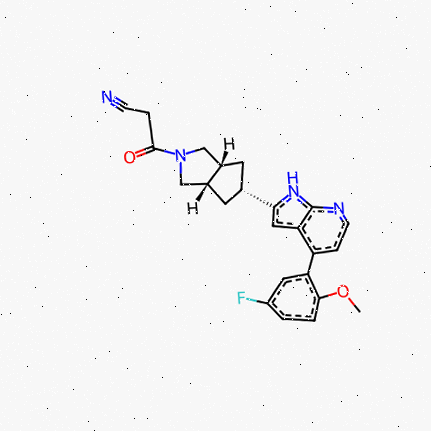 COc1ccc(F)cc1-c1ccnc2[nH]c([C@@H]3C[C@@H]4CN(C(=O)CC#N)C[C@@H]4C3)cc12